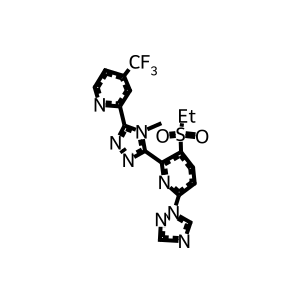 CCS(=O)(=O)c1ccc(-n2cncn2)nc1-c1nnc(-c2cc(C(F)(F)F)ccn2)n1C